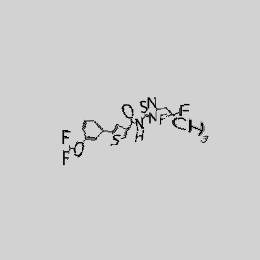 CC(F)(F)Cc1nsc(NC(=O)c2csc(-c3cccc(OC(F)F)c3)c2)n1